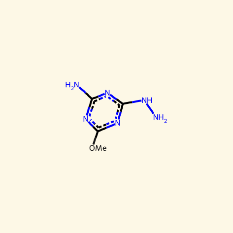 COc1nc(N)nc(NN)n1